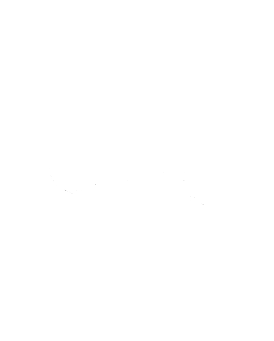 Ic1c[c]ccc1CCCCc1ccccc1